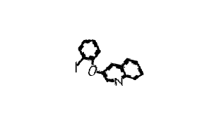 Ic1ccccc1Oc1cnc2ccccc2c1